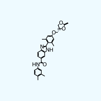 C=C1OC[C@@H](COc2cc(C)c(-c3nc4ccc(C(=O)Nc5ccc(C)c(C)c5)cc4[nH]3)c(C)c2)O1